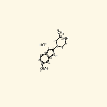 COc1ccc2cc(C3CCNC(C)C3)sc2c1.Cl